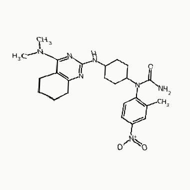 Cc1cc([N+](=O)[O-])ccc1N(C(N)=O)C1CCC(Nc2nc3c(c(N(C)C)n2)CCCC3)CC1